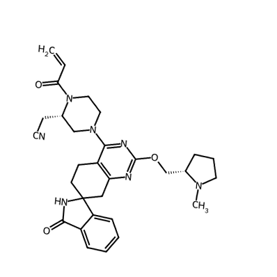 C=CC(=O)N1CCN(c2nc(OC[C@@H]3CCCN3C)nc3c2CCC2(C3)NC(=O)c3ccccc32)C[C@@H]1CC#N